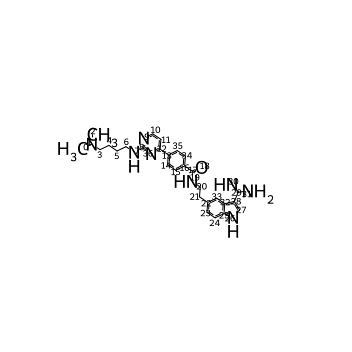 CN(C)CCCCNc1nccc(-c2ccc(C(=O)NCCc3ccc4[nH]cc(C(=N)N)c4c3)cc2)n1